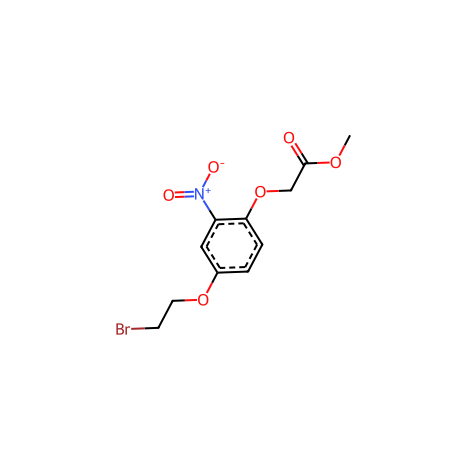 COC(=O)COc1ccc(OCCBr)cc1[N+](=O)[O-]